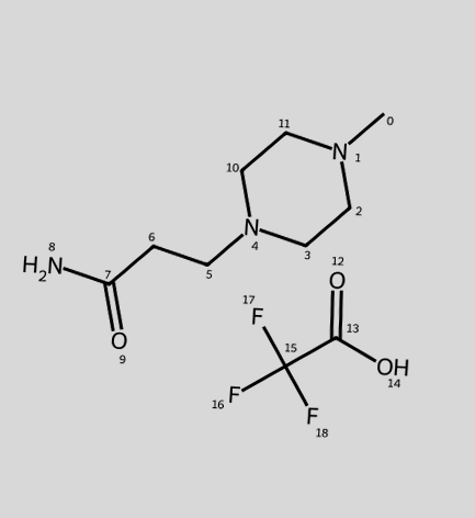 CN1CCN(CCC(N)=O)CC1.O=C(O)C(F)(F)F